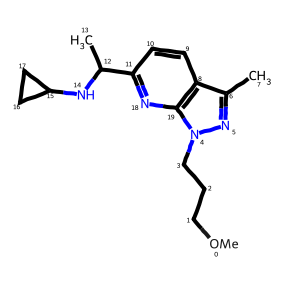 COCCCn1nc(C)c2ccc(C(C)NC3CC3)nc21